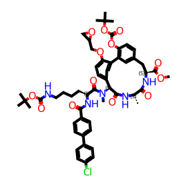 COC(=O)[C@@H]1Cc2ccc(OC(=O)OC(C)(C)C)c(c2)-c2cc(ccc2OCC2CO2)[C@H](N(C)C(=O)[C@H](CCCCNC(=O)OC(C)(C)C)NC(=O)c2ccc(-c3ccc(Cl)cc3)cc2)C(=O)N[C@@H](C)C(=O)N1